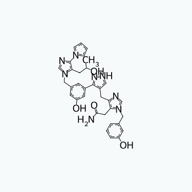 CC(O)Cc1c(-n2cccc2)ncn1Cc1cc(O)cc(-c2n[nH]cc2Cc2ncn(Cc3cccc(O)c3)c2CC(N)=O)c1